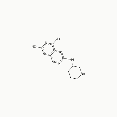 CC(C)c1nc(C#N)cc2cnc(N[C@H]3CCCNC3)cc12